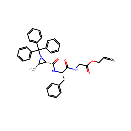 C=CCOC(=O)CNC(=O)[C@H](Cc1ccccc1)NC(=O)[C@@H]1[C@H](C)N1C(c1ccccc1)(c1ccccc1)c1ccccc1